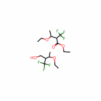 CCOC(=O)C(C(C)OCC)C(F)(F)F.CCOC(C)C(CO)C(F)(F)F